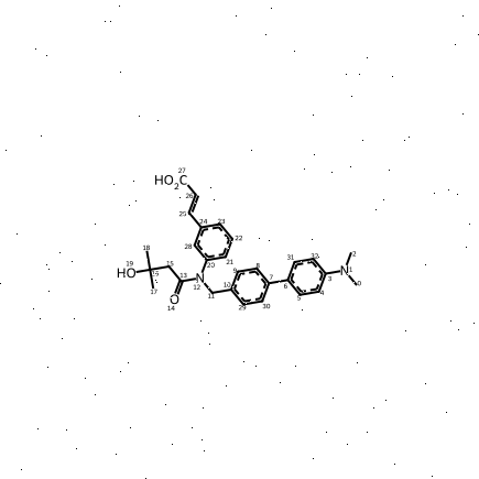 CN(C)c1ccc(-c2ccc(CN(C(=O)CC(C)(C)O)c3cccc(C=CC(=O)O)c3)cc2)cc1